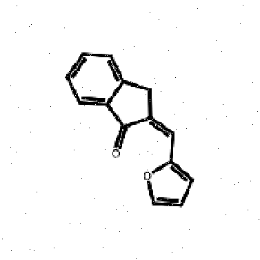 O=C1C(=Cc2ccco2)Cc2ccccc21